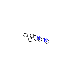 Cc1c(/C=C/c2ccc(CN3CCCCC3)cn2)cccc1-c1ccccc1